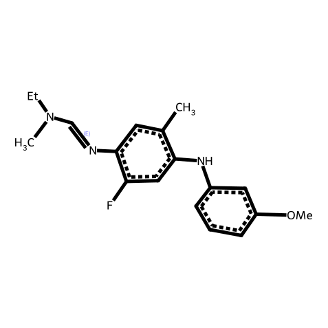 CCN(C)/C=N/c1cc(C)c(Nc2cccc(OC)c2)cc1F